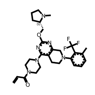 C=CC(=O)N1CCN(c2nc(OC[C@@H]3CCCN3C)nc3c2CCN(c2cccc(C)c2C(F)(F)F)C3)CC1